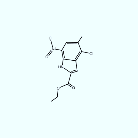 CCOC(=O)c1cc2c(Cl)c(C)cc([N+](=O)[O-])c2[nH]1